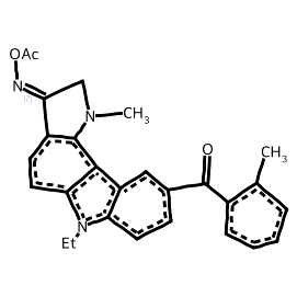 CCn1c2ccc(C(=O)c3ccccc3C)cc2c2c3c(ccc21)/C(=N/OC(C)=O)CN3C